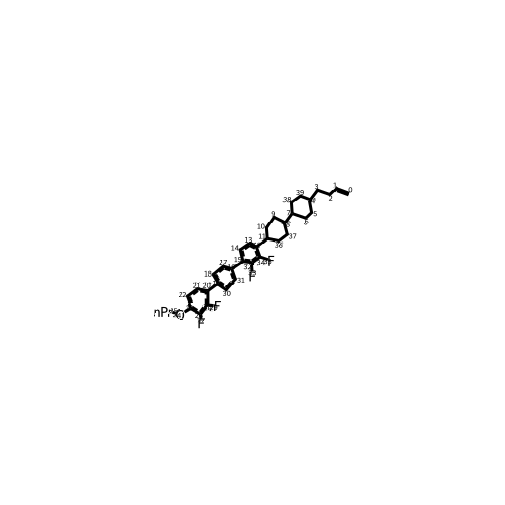 C=CCCC1CCC(C2CCC(c3ccc(-c4ccc(-c5ccc(OCCC)c(F)c5F)cc4)c(F)c3F)CC2)CC1